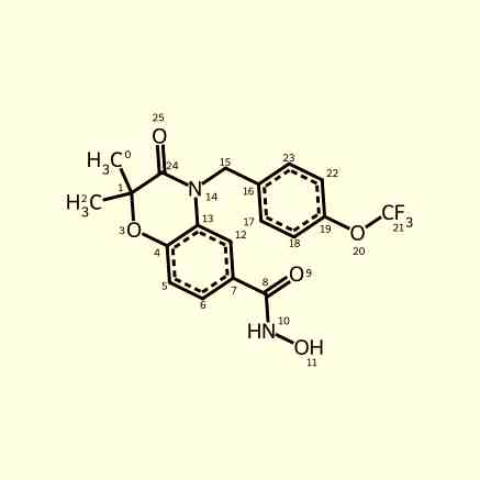 CC1(C)Oc2ccc(C(=O)NO)cc2N(Cc2ccc(OC(F)(F)F)cc2)C1=O